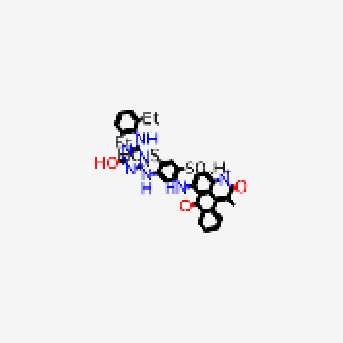 CCc1cccc(CC)c1Nc1nc(O)nc(Nc2cc(Nc3ccc4c5c3C(=O)c3ccccc3-c5c(C)c(=O)n4C)c(S(=O)(=O)O)cc2S(=O)(=O)O)n1